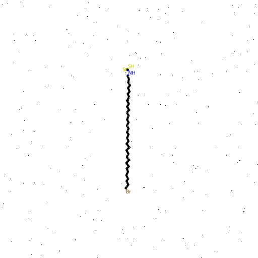 S=C(S)NCCCCCCCCCCCCCCCCCCCCCCCCCCCCCCCCCCCCCBr